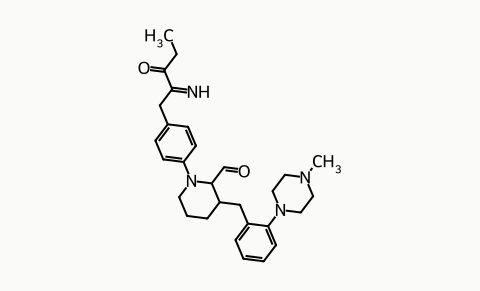 CCC(=O)C(=N)Cc1ccc(N2CCCC(Cc3ccccc3N3CCN(C)CC3)C2C=O)cc1